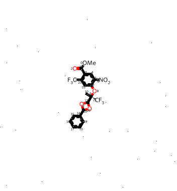 COC(=O)c1cc([N+](=O)[O-])c(O[C@](C)(C2OC(c3ccccc3)O2)C(F)(F)F)cc1C(F)(F)F